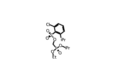 CCOP(=O)(COS(=O)(=O)c1c(Cl)cccc1C(C)C)OC(C)C